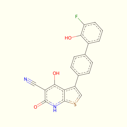 N#Cc1c(O)c2c(-c3ccc(-c4cccc(F)c4O)cc3)csc2[nH]c1=O